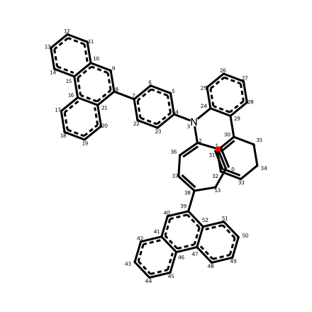 C1#CC(N(c2ccc(-c3cc4ccccc4c4ccccc34)cc2)c2ccccc2C2=CC=CCC2)=CC=C(c2cc3ccccc3c3ccccc23)C1